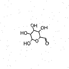 O=CC1OC(O)C(O)C(O)C1O